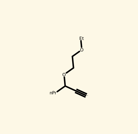 [C]#CC(CCC)OCCOCC